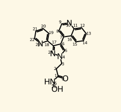 O=C(CCn1cc(-c2ccnc3ccccc23)c(-c2ccccn2)n1)NO